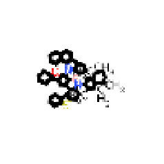 Cc1cc2c(cc1N1B3c4c(cc5c(oc6ccccc65)c4-n4c5c3cccc5c3ccc5ccccc5c34)-c3c1ccc1sc4ccccc4c31)C(C)(C)CCC2(C)C